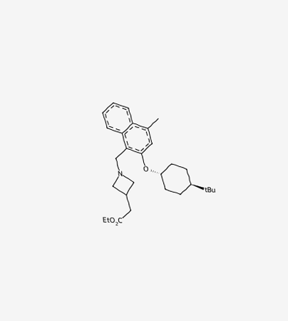 CCOC(=O)CC1CN(Cc2c(O[C@H]3CC[C@H](C(C)(C)C)CC3)cc(C)c3ccccc23)C1